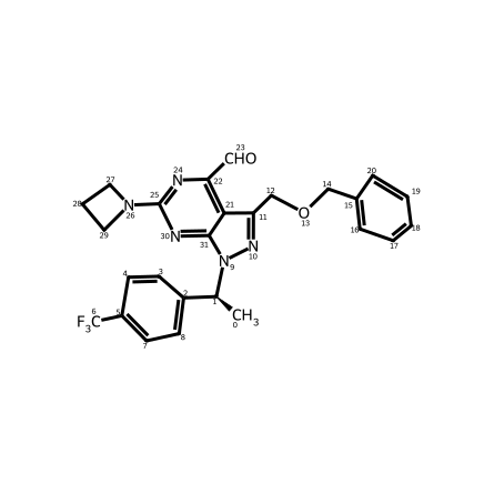 C[C@@H](c1ccc(C(F)(F)F)cc1)n1nc(COCc2ccccc2)c2c(C=O)nc(N3CCC3)nc21